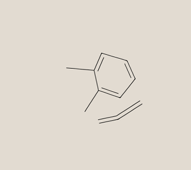 C=C=C.Cc1ccccc1C